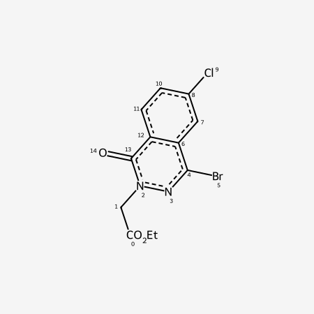 CCOC(=O)Cn1nc(Br)c2cc(Cl)ccc2c1=O